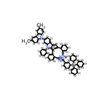 Cc1ccc2c(c1)c1cc(C)ccc1n2-c1ccc2c3cc4cc(c5ccccc5c5nc(-c6cccc([Si](c7ccccc7)(c7ccccc7)c7ccccc7)c6)nc(n5)c5ccccc45)c3n(-c3ccccc3)c2c1